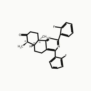 C[C@H]1C(=O)CC[C@@]2(C)c3nc(-c4ccccc4F)nc(-c4ccccc4F)c3CC[C@H]12